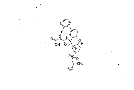 CC(C)CS(=O)(=O)N1CC[C@@H]2Oc3ccc(-c4cccnc4F)cc3[C@@]3(COC(NC(=O)O)=N3)[C@H]2C1